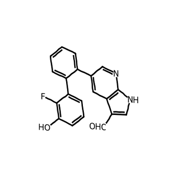 O=Cc1c[nH]c2ncc(-c3ccccc3-c3cccc(O)c3F)cc12